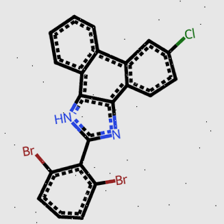 Clc1ccc2c(c1)c1ccccc1c1[nH]c(-c3c(Br)cccc3Br)nc21